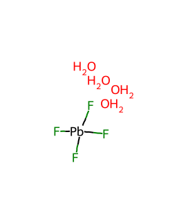 O.O.O.O.[F][Pb]([F])([F])[F]